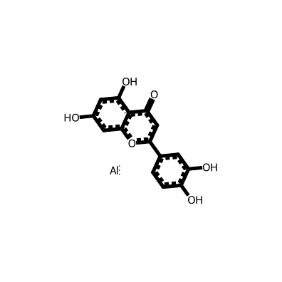 O=c1cc(-c2ccc(O)c(O)c2)oc2cc(O)cc(O)c12.[Al]